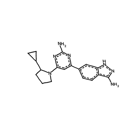 Nc1nc(-c2ccc3c(N)n[nH]c3c2)cc(N2CCCC2C2CC2)n1